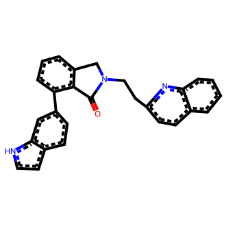 O=C1c2c(cccc2-c2ccc3cc[nH]c3c2)CN1CCc1ccc2ccccc2n1